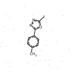 Cc1ccc(-c2nnc(I)o2)cc1